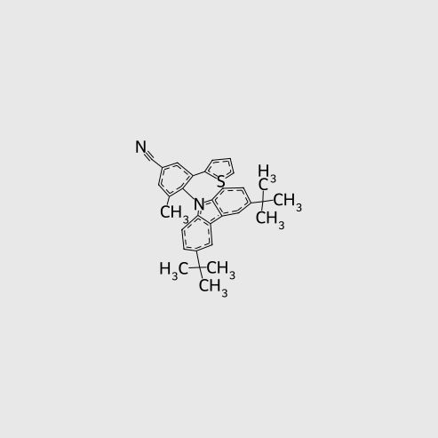 Cc1cc(C#N)cc(-c2cccs2)c1-n1c2ccc(C(C)(C)C)cc2c2cc(C(C)(C)C)ccc21